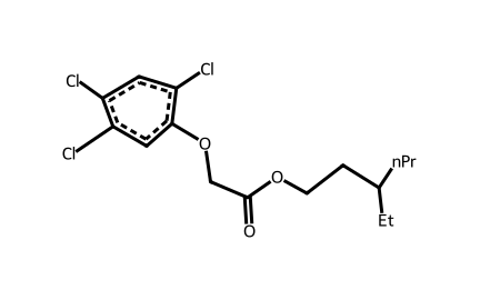 CCCC(CC)CCOC(=O)COc1cc(Cl)c(Cl)cc1Cl